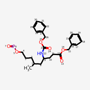 CC(CCCOP=O)CC(CCC(=O)OCc1ccccc1)NC(=O)OCc1ccccc1